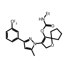 CCNC(=O)OC1=C(n2nc(-c3cccc(C(F)(F)F)c3)cc2C)COC12CCCC2